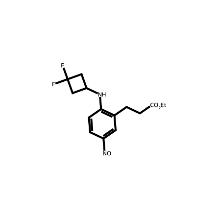 CCOC(=O)CCc1cc(N=O)ccc1NC1CC(F)(F)C1